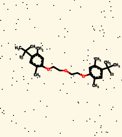 CCC(C)(C)c1cc(C)c(OCCOCCOc2cc(C)c(C(C)(C)CC)cc2C)cc1C